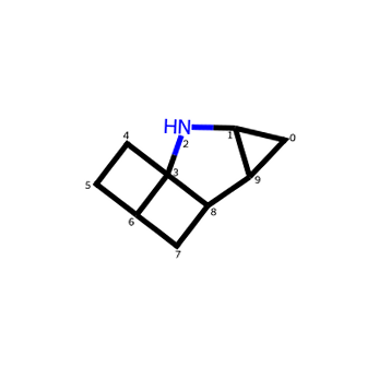 C1C2NC34CCC3CC4C12